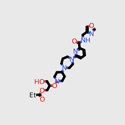 CCC(=O)OCC(CO)ON1CCC(N2CCCN(c3cccc(C(=O)NCc4cocn4)n3)CC2)CC1